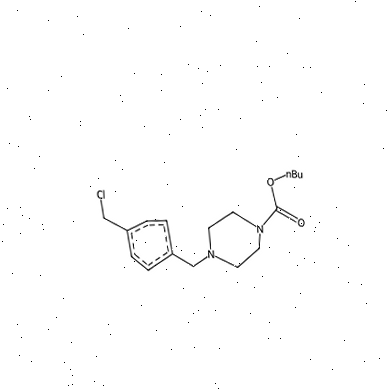 CCCCOC(=O)N1CCN(Cc2ccc(CCl)cc2)CC1